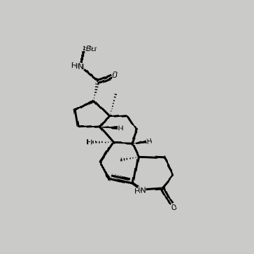 CC(C)(C)NC(=O)[C@H]1CC[C@H]2[C@@H]3CC=C4NC(=O)CC[C@]4(C)[C@H]3CC[C@]12C